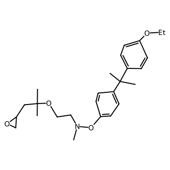 CCOc1ccc(C(C)(C)c2ccc(ON(C)CCOC(C)(C)CC3CO3)cc2)cc1